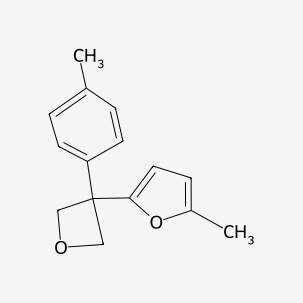 Cc1ccc(C2(c3ccc(C)o3)COC2)cc1